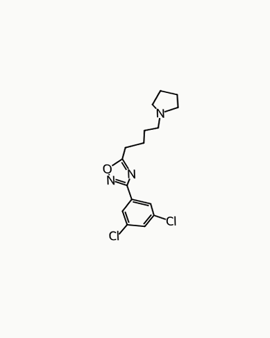 Clc1cc(Cl)cc(-c2noc(CCCCN3CCCC3)n2)c1